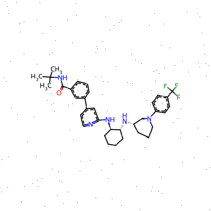 CC(C)(C)NC(=O)c1cccc(-c2ccnc(N[C@@H]3CCCC[C@H]3N[C@H]3CCCN(c4ccc(C(F)(F)F)cc4)C3)c2)c1